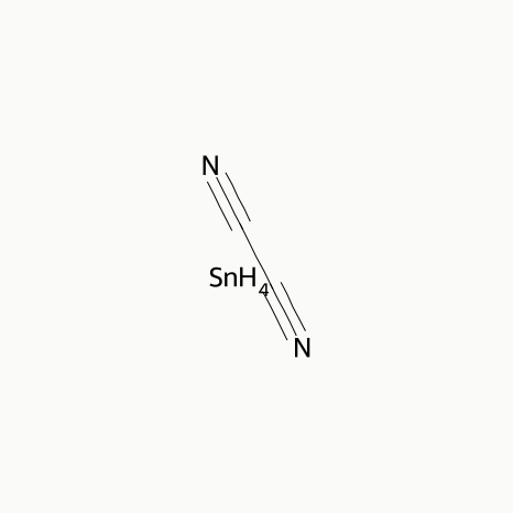 N#CC#N.[SnH4]